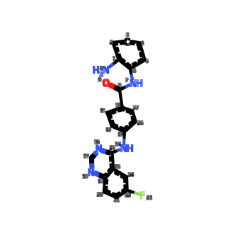 Nc1ccccc1NC(=O)c1ccc(Nc2ncnc3ccc(F)cc23)cc1